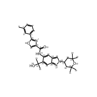 Cc1cccc(-c2nc(C(=O)Nc3cc4cn(C5CC(C)(C)OC(C)(C)C5)nc4cc3C(C)(C)O)co2)c1